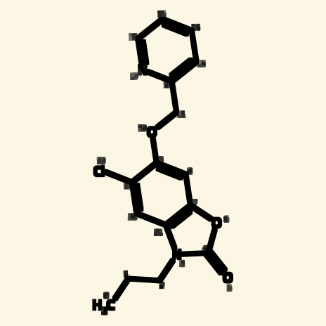 CCCn1c(=O)oc2cc(OCc3ccccn3)c(Cl)cc21